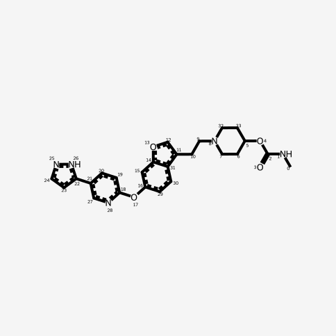 CNC(=O)OC1CCN(CCc2coc3cc(Oc4ccc(-c5ccn[nH]5)cn4)ccc23)CC1